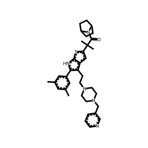 Cc1cc(C)cc(-c2[nH]c3sc(C(C)(C)C(=O)N4C5CCC4CC5)cc3c2CCN2CCN(Cc3cccnc3)CC2)c1